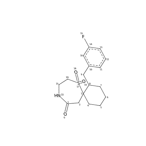 O=C1CC2(CCCCC2Cc2cccc(F)c2)S(=O)(=O)CCN1